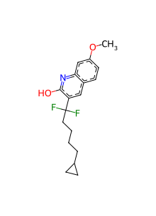 COc1ccc2cc(C(F)(F)CCCCC3CC3)c(O)nc2c1